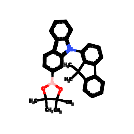 CC1(C)c2ccccc2-c2cccc(-n3c4ccccc4c4ccc(B5OC(C)(C)C(C)(C)O5)cc43)c21